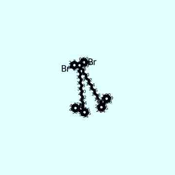 Brc1ccc2c(c1)C(CCCCCCCCCCCCn1c3ccccc3c3ccccc31)(CCCCCCCCCCCCn1c3ccccc3c3ccccc31)c1cc(Br)ccc1-2